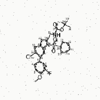 COc1ccc(-c2cc3c(cc2Cl)cc(CNC(=O)OC(C)(C)C)n3S(=O)(=O)c2ccccc2)nc1F